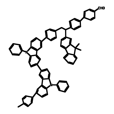 Cc1ccc(-c2ccc3c(c2)c2cc(-c4ccc5c(c4)c4cc(-c6ccc(CC(c7ccc(-c8ccc(C=O)cc8)cc7)c7ccc8c(c7)C(C)(C)c7ccccc7-8)cc6)ccc4n5-c4ccccc4)ccc2n3-c2ccccc2)cc1